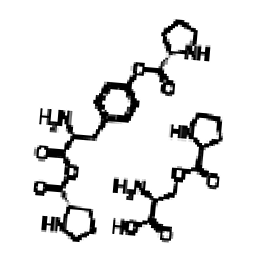 N[C@@H](COC(=O)[C@@H]1CCCN1)C(=O)O.N[C@@H](Cc1ccc(OC(=O)[C@@H]2CCCN2)cc1)C(=O)OC(=O)[C@@H]1CCCN1